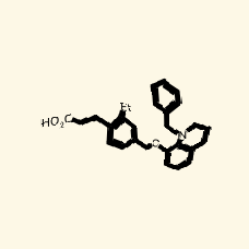 CCc1cc(COc2cccc3c2N(Cc2ccccc2)CCC3)ccc1CCC(=O)O